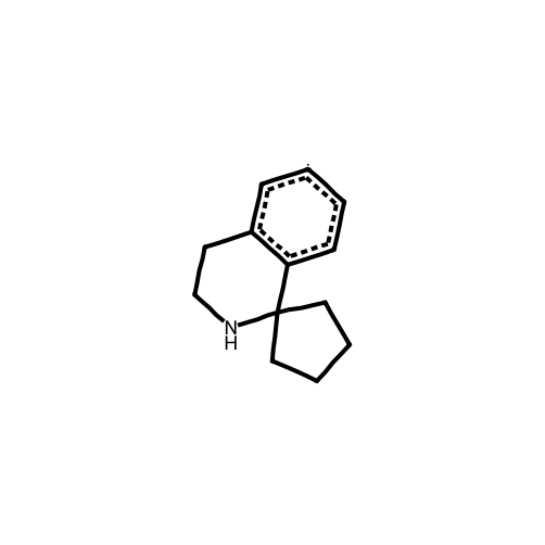 [c]1ccc2c(c1)CCNC21CCCC1